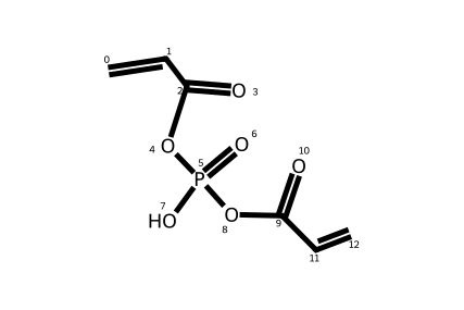 C=CC(=O)OP(=O)(O)OC(=O)C=C